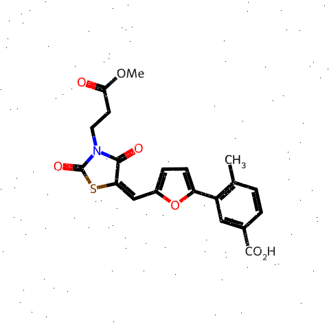 COC(=O)CCN1C(=O)SC(=Cc2ccc(-c3cc(C(=O)O)ccc3C)o2)C1=O